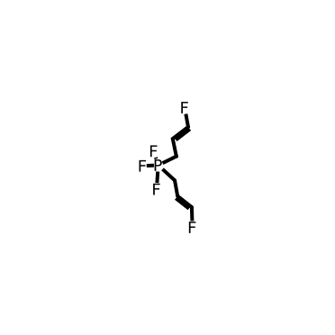 FC=CCP(F)(F)(F)CC=CF